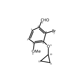 COc1ccc(C=O)c(Br)c1OC1CC1